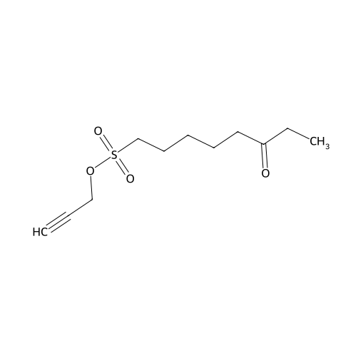 C#CCOS(=O)(=O)CCCCCC(=O)CC